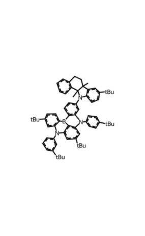 CC(C)(C)c1ccc(N2c3cc(N4c5ccc(C(C)(C)C)cc5C5(C)CCc6ccccc6C45C)ccc3B3c4ccc(C(C)(C)C)cc4N(c4cccc(C(C)(C)C)c4)c4cc(C(C)(C)C)cc2c43)cc1